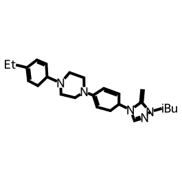 C=C1N(C2C=CC(N3CCN(C4C=CC(CC)=CC4)CC3)=CC2)C=NN1C(C)CC